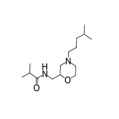 CC(C)CCCN1CCOC(CNC(=O)C(C)C)C1